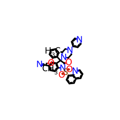 CCOc1ccccc1C1(N2CCN(c3ccncc3)CC2C)C(=O)N(S(=O)(=O)c2cccc3cccnc23)c2ccc(C#N)cc21